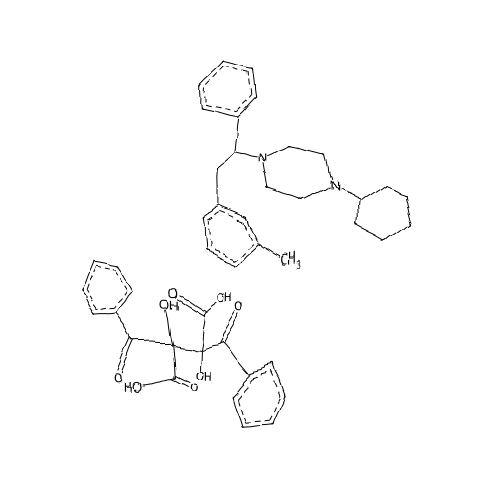 Cc1cccc(CC(c2ccccc2)N2CCN(C3CCCCC3)CC2)c1.O=C(O)C(O)(C(=O)c1ccccc1)C(O)(C(=O)O)C(=O)c1ccccc1